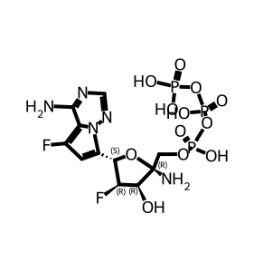 Nc1ncnn2c([C@@H]3O[C@](N)(COP(=O)(O)OP(=O)(O)OP(=O)(O)O)[C@@H](O)[C@H]3F)cc(F)c12